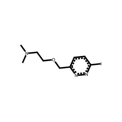 CN(C)CCOCc1ccc(I)nn1